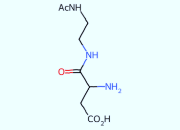 CC(=O)NCCNC(=O)C(N)CC(=O)O